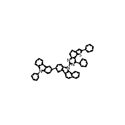 c1ccc(-c2cc3ccc4nc(-n5c6ccc(-c7ccc8c(c7)c7ccccc7n8-c7ccccc7)cc6c6ccc7ccccc7c65)nc(-c5ccccc5)c4c3s2)cc1